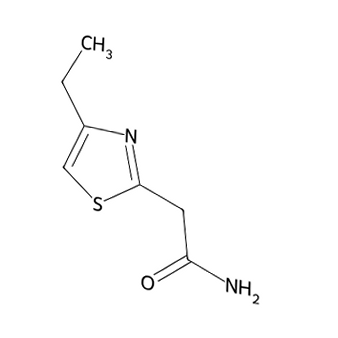 CCc1csc(CC(N)=O)n1